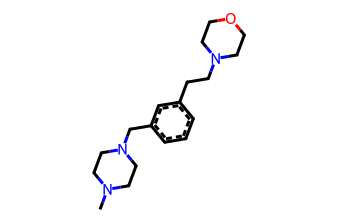 CN1CCN(Cc2cccc(CCN3CCOCC3)c2)CC1